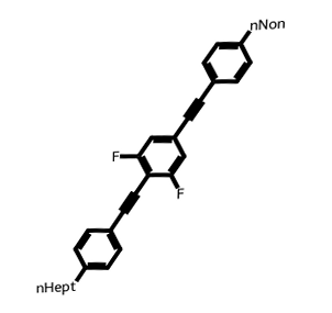 CCCCCCCCCc1ccc(C#Cc2cc(F)c(C#Cc3ccc(CCCCCCC)cc3)c(F)c2)cc1